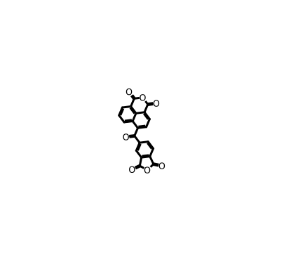 O=C1OC(=O)c2cc(C(=O)c3ccc4c5c(cccc35)C(=O)OC4=O)ccc21